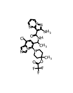 CC(NC(=O)c1c(N)nn2cccnc12)c1cc(Cl)c2cncn2c1N1CCC(C)(OC(=O)C(F)(F)F)CC1